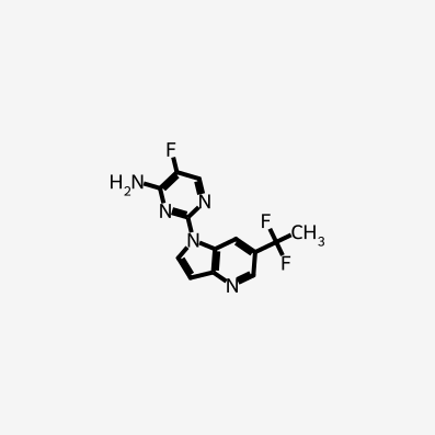 CC(F)(F)c1cnc2ccn(-c3ncc(F)c(N)n3)c2c1